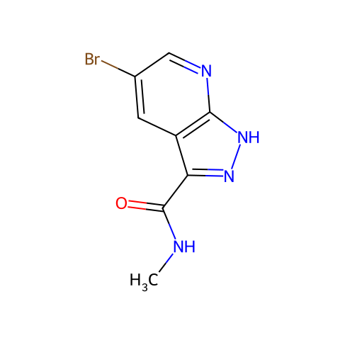 CNC(=O)c1n[nH]c2ncc(Br)cc12